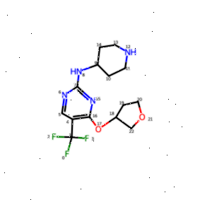 FC(F)(F)c1cnc(NC2CCNCC2)nc1OC1CCOC1